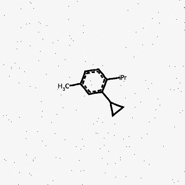 Cc1ccc(C(C)C)c(C2CC2)c1